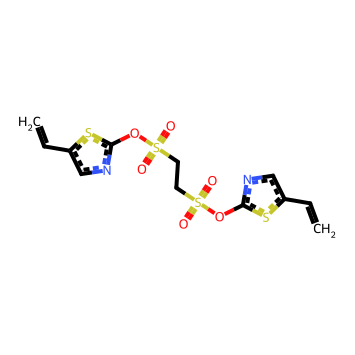 C=Cc1cnc(OS(=O)(=O)CCS(=O)(=O)Oc2ncc(C=C)s2)s1